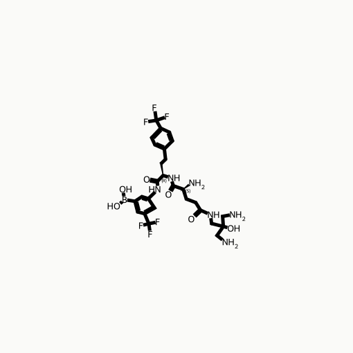 NCC(O)(CN)CNC(=O)CC[C@H](N)C(=O)N[C@H](CCc1ccc(C(F)(F)F)cc1)C(=O)Nc1cc(B(O)O)cc(C(F)(F)F)c1